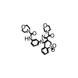 O=C(Nc1cccc(-n2nc(C(=O)N3CCOCC3)c3c2-c2ccccc2S(=O)(=O)C3)c1)N1CCOCC1